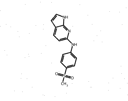 CS(=O)(=O)c1ccc(Nc2ccc3cc[nH]c3n2)cc1